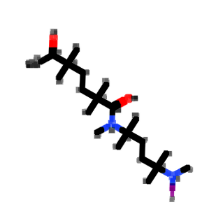 CN(I)C(C)(C)CCC(C)(C)N(C)C(=O)C(C)(C)CCC(C)(C)C(=O)C(C)(C)C